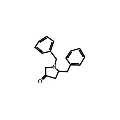 O=C1CC(Cc2ccccc2)N(Cc2ccccc2)C1